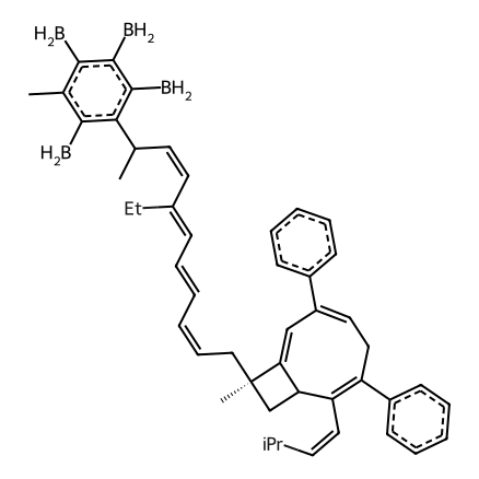 Bc1c(B)c(C)c(B)c(C(C)\C=C/C(=C/C=C/C=C\C[C@]2(C)CC3C2=C/C(c2ccccc2)=C\C/C(c2ccccc2)=C3/C=C\C(C)C)CC)c1B